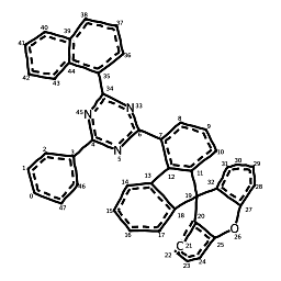 c1ccc(-c2nc(-c3cccc4c3-c3ccccc3C43c4ccccc4Oc4ccccc43)nc(-c3cccc4ccccc34)n2)cc1